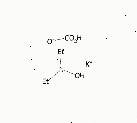 CCN(O)CC.O=C([O-])O.[K+]